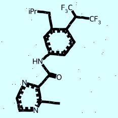 Cc1nccnc1C(=O)Nc1ccc(C(C(F)(F)F)C(F)(F)F)c(CC(C)C)c1